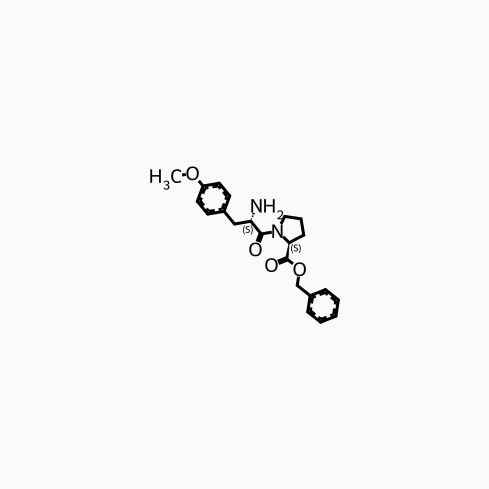 COc1ccc(C[C@H](N)C(=O)N2CCC[C@H]2C(=O)OCc2ccccc2)cc1